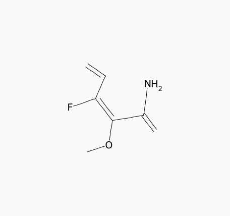 C=C/C(F)=C(/OC)C(=C)N